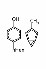 CCCCCCc1ccc(O)cc1.Cc1cc2cc-2c1